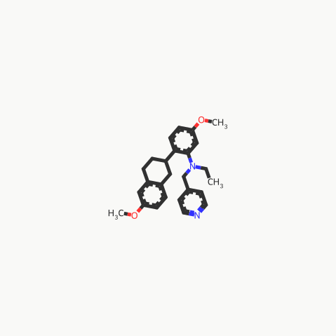 CCN(Cc1ccncc1)c1cc(OC)ccc1C1CCc2cc(OC)ccc2C1